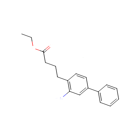 CCOC(=O)CCCc1ccc(-c2ccccc2)cc1N.Cl